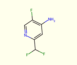 Nc1cc(C(F)F)ncc1F